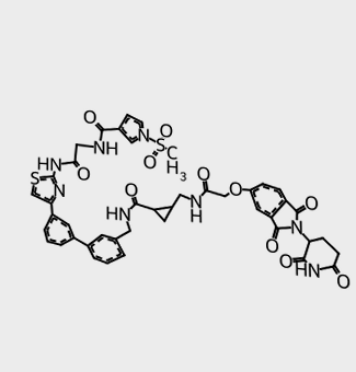 CS(=O)(=O)n1ccc(C(=O)NCC(=O)Nc2nc(-c3cccc(-c4cccc(CNC(=O)C5CC5CNC(=O)COc5ccc6c(c5)C(=O)N(C5CCC(=O)NC5=O)C6=O)c4)c3)cs2)c1